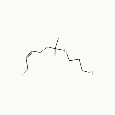 CC(C)(C)C/C=C\CCC(C)(C)NCCCN